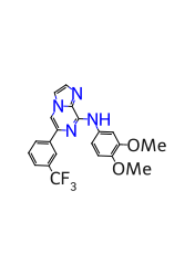 COc1ccc(Nc2nc(-c3cccc(C(F)(F)F)c3)cn3ccnc23)cc1OC